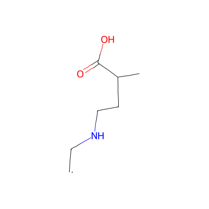 [CH2]CNCCC(C)C(=O)O